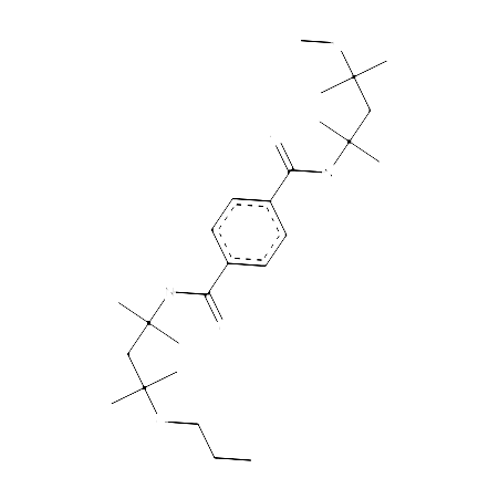 CCCOC(C)(C)CC(C)(C)NC(=O)c1ccc(C(=O)NC(C)(C)CC(C)(C)OC)cc1